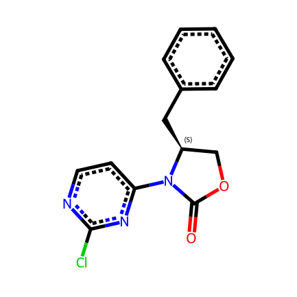 O=C1OC[C@H](Cc2ccccc2)N1c1ccnc(Cl)n1